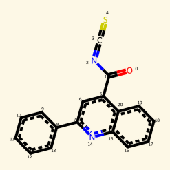 O=C(N=C=S)c1cc(-c2ccccc2)nc2ccccc12